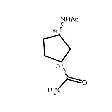 CC(=O)N[C@H]1CC[C@@H](C(N)=O)C1